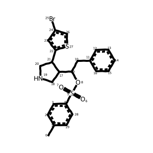 Cc1ccc(S(=O)(=O)OC(Cc2ccccc2)C2CNCC2c2cc(Br)cs2)cc1